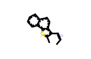 C/C=C\c1c(C)sc2c1ccc1ccccc12